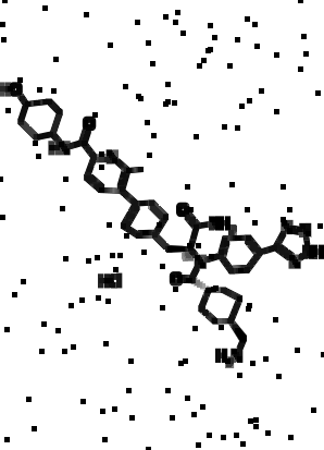 Cc1nc(C(=O)NC2CCC(O)CC2)ccc1-c1ccc(C[C@@H](C(N)=O)N(c2ccc(-c3nn[nH]n3)cc2)C(=O)[C@H]2CC[C@H](CN)CC2)cc1.Cl